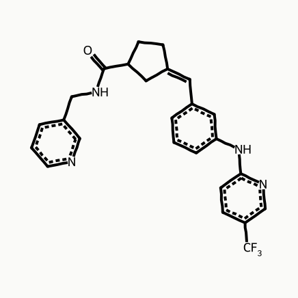 O=C(NCc1cccnc1)C1CCC(=Cc2cccc(Nc3ccc(C(F)(F)F)cn3)c2)C1